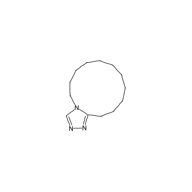 c1nnc2n1CCCCCCCCCCC2